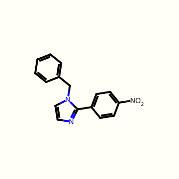 O=[N+]([O-])c1ccc(-c2nccn2Cc2ccccc2)cc1